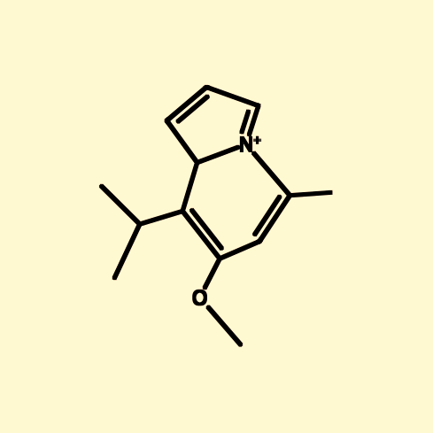 COC1=C(C(C)C)C2C=CC=[N+]2C(C)=C1